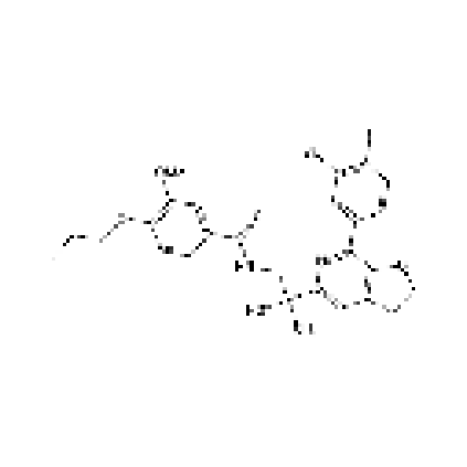 COc1cc(C(=O)NCC(C)(O)c2cc3c(c(-c4ccc(F)c(Cl)c4)n2)OCC3)ccc1OCCF